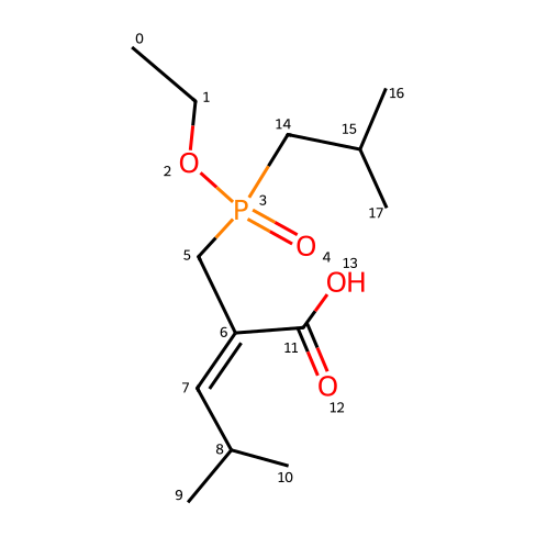 CCOP(=O)(C/C(=C/C(C)C)C(=O)O)CC(C)C